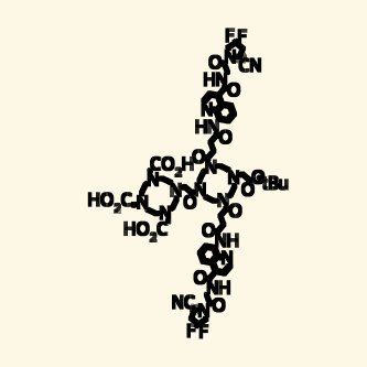 CC(C)(C)OC(=O)CN1CCN(C(=O)CCC(=O)Nc2cccc3c(C(=O)NCC(=O)N4CC(F)(F)C[C@H]4C#N)ccnc23)CCN(C(=O)CN2CCN(CC(=O)O)CCN(CC(=O)O)CCN(CC(=O)O)CC2)CCN(C(=O)CCC(=O)Nc2cccc3c(C(=O)NCC(=O)N4CC(F)(F)C[C@H]4C#N)ccnc23)CC1